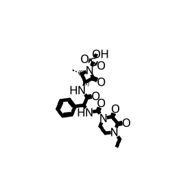 CCN1CCN(C(=O)NC(C(=O)N[C@@H]2C(=O)N(S(=O)(=O)O)[C@H]2C)c2ccccc2)C(=O)C1=O